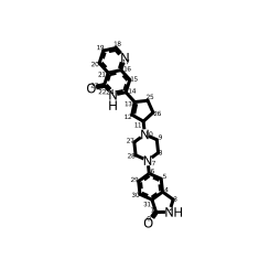 O=C1NCc2cc(N3CCN(C4C=C(c5cc6ncccc6c(=O)[nH]5)CC4)CC3)ccc21